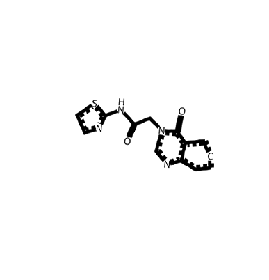 O=C(Cn1cnc2ccccc2c1=O)Nc1nccs1